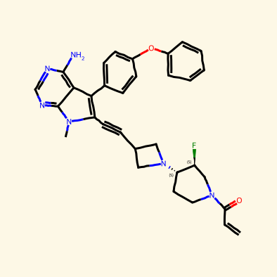 C=CC(=O)N1CC[C@H](N2CC(C#Cc3c(-c4ccc(Oc5ccccc5)cc4)c4c(N)ncnc4n3C)C2)[C@@H](F)C1